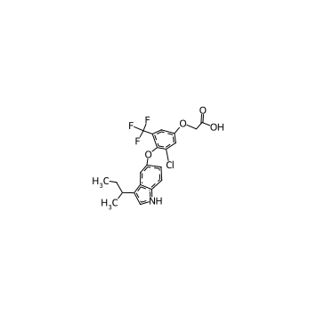 CCC(C)c1c[nH]c2ccc(Oc3c(Cl)cc(OCC(=O)O)cc3C(F)(F)F)cc12